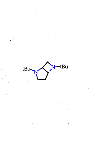 CC(C)(C)N1CCC2C1CN2C(C)(C)C